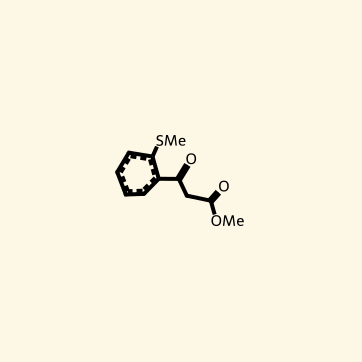 COC(=O)CC(=O)c1ccccc1SC